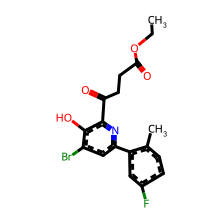 CCOC(=O)CCC(=O)c1nc(-c2cc(F)ccc2C)cc(Br)c1O